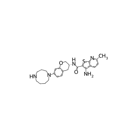 Cc1ccc2c(N)c(C(=O)N[C@H]3COc4cc(N5CCCCNCCC5)ccc4C3)sc2n1